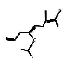 C=CCC(=CC/C(C)=C(\C)Br)OC(F)F